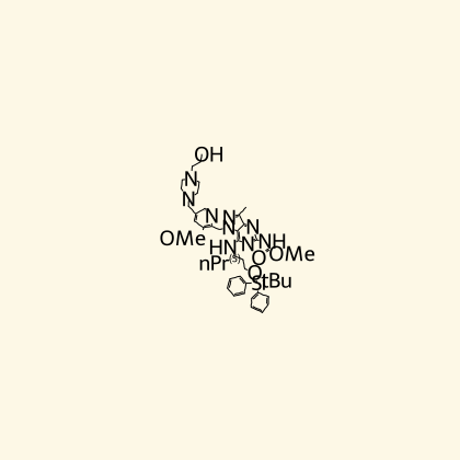 CCC[C@@H](CCO[Si](c1ccccc1)(c1ccccc1)C(C)(C)C)Nc1nc(NC(=O)OC)nc2c(C)nn(Cc3ncc(CN4CCN(CCO)CC4)cc3OC)c12